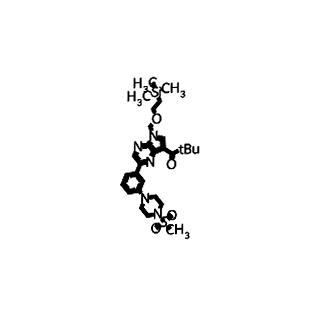 CC(C)(C)C(=O)c1cn(COCC[Si](C)(C)C)c2ncc(-c3cccc(N4CCN(S(C)(=O)=O)CC4)c3)nc12